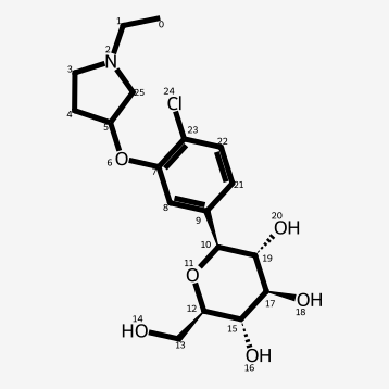 CCN1CCC(Oc2cc([C@@H]3O[C@H](CO)[C@@H](O)[C@H](O)[C@H]3O)ccc2Cl)C1